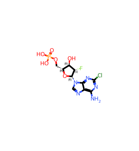 Nc1nc(Cl)nc2c1ncn2[C@@H]1O[C@H](COP(=O)(O)O)[C@@H](O)[C@@H]1F